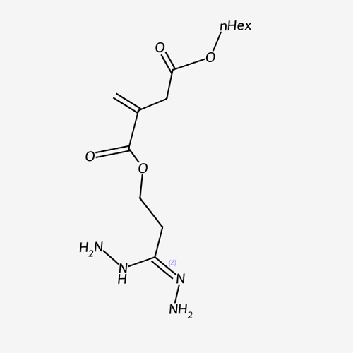 C=C(CC(=O)OCCCCCC)C(=O)OCC/C(=N/N)NN